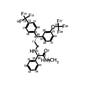 CNC(=O)[C@H](NCC[C@H](c1ccc(C(F)(F)F)cc1)c1cccc(OC(F)(F)F)c1)c1ccccc1